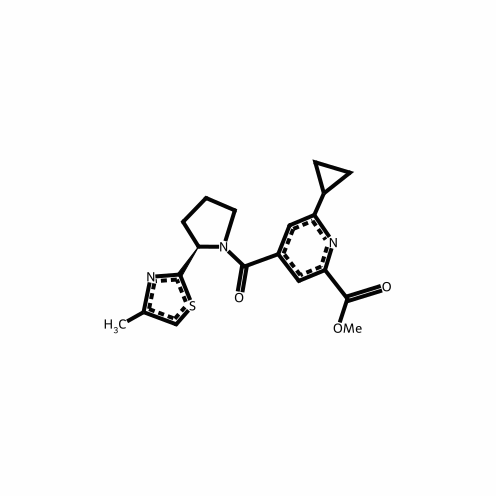 COC(=O)c1cc(C(=O)N2CCC[C@@H]2c2nc(C)cs2)cc(C2CC2)n1